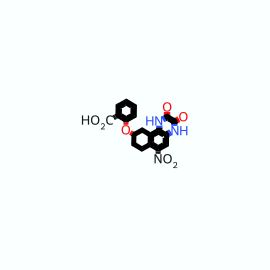 O=C(O)c1ccccc1OC1CCc2c([N+](=O)[O-])cc3[nH]c(=O)c(=O)[nH]c3c2C1